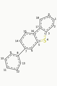 [c]1ccc2sc3cc(-c4ccccc4)ccc3c2c1